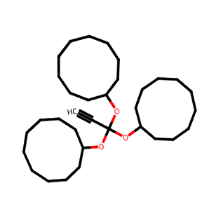 C#CC(OC1CCCCCCCCC1)(OC1CCCCCCCCC1)OC1CCCCCCCCC1